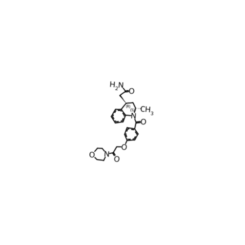 C[C@H]1C[C@H](CC(N)=O)c2ccccc2N1C(=O)c1ccc(OCC(=O)N2CCOCC2)cc1